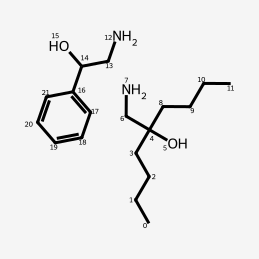 CCCCC(O)(CN)CCCC.NCC(O)c1ccccc1